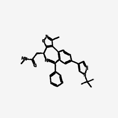 CNC(=O)C[C@@H]1N=C(c2ccccc2)c2cc(-c3cnn(C(C)(C)C)c3)ccc2-c2c(C)noc21